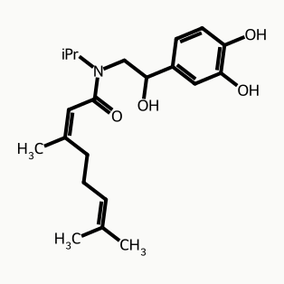 CC(C)=CCCC(C)=CC(=O)N(CC(O)c1ccc(O)c(O)c1)C(C)C